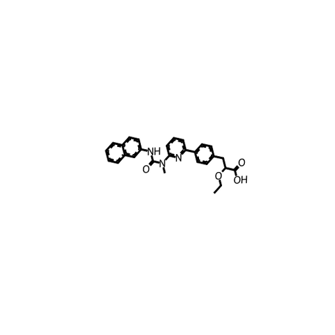 CCOC(Cc1ccc(-c2cccc(N(C)C(=O)Nc3ccc4ccccc4c3)n2)cc1)C(=O)O